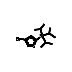 CC(C)[Si](c1cc(Br)cs1)(C(C)C)C(C)C